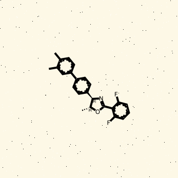 Cc1ccc(-c2ccc([C@H]3N=C(c4c(F)cccc4F)O[C@@H]3C)cc2)cc1C